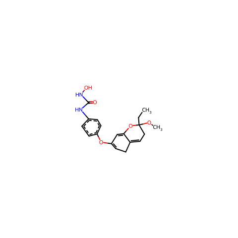 CCC1(OC)CC=C2CC=C(Oc3ccc(NC(=O)NO)cc3)C=C2O1